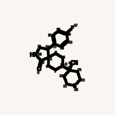 N#CC1(N2CCC3(CC2)C(=O)NCC3c2ccc(F)cc2)CCSCC1